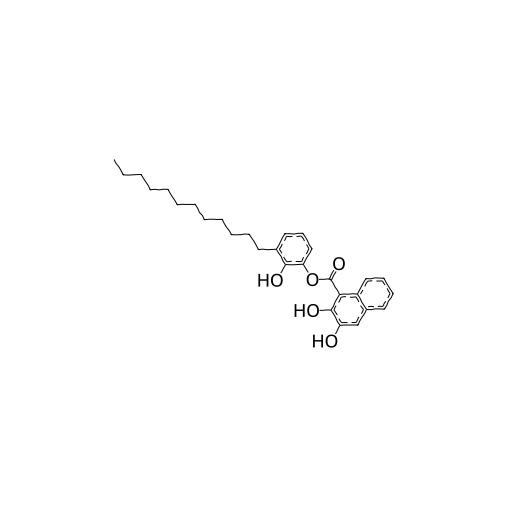 CCCCCCCCCCCCc1cccc(OC(=O)c2c(O)c(O)cc3ccccc23)c1O